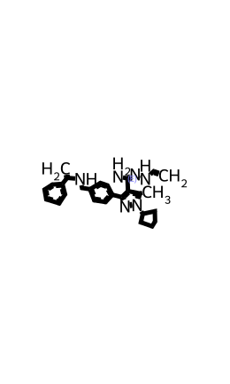 C=CN/N=C(/N)c1c(-c2ccc(CNC(=C)c3ccccc3)cc2)nn(C2CCCC2)c1C